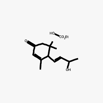 CC1=CC(=O)CC(C)(C)C1C=CC(C)O.CCOC(=O)O